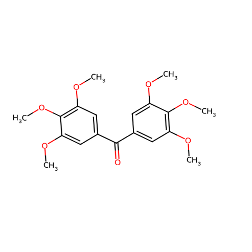 COc1cc(C(=O)c2cc(OC)c(OC)c(OC)c2)cc(OC)c1OC